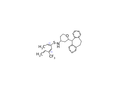 C=C/C(=C\C(=C/C)SNC1CCOC(C2c3ccccc3CCc3ccccc32)C1)C(F)(F)F